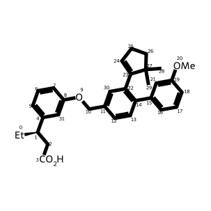 CC[C@H](CC(=O)O)c1cccc(OCc2ccc(-c3cccc(OC)c3)c(C3=CCCC3(C)C)c2)c1